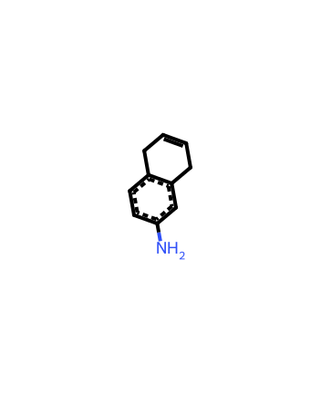 Nc1ccc2c(c1)CC=CC2